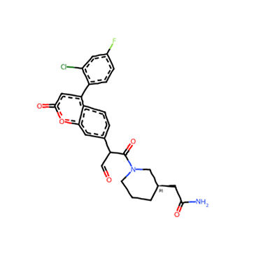 NC(=O)C[C@H]1CCCN(C(=O)C(C=O)c2ccc3c(-c4ccc(F)cc4Cl)cc(=O)oc3c2)C1